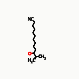 C=C(C)C(=O)CCCCCCCCCC#N